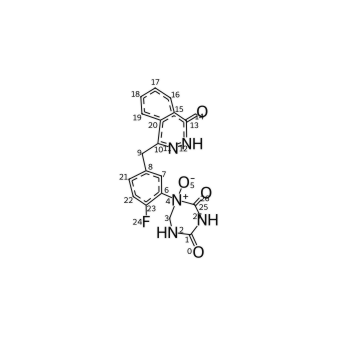 O=C1NC[N+]([O-])(c2cc(Cc3n[nH]c(=O)c4ccccc34)ccc2F)C(=O)N1